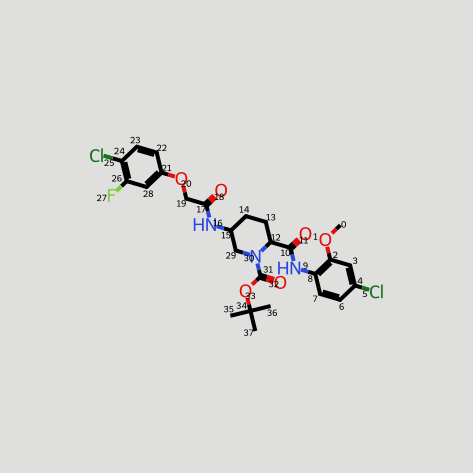 COc1cc(Cl)ccc1NC(=O)C1CCC(NC(=O)COc2ccc(Cl)c(F)c2)CN1C(=O)OC(C)(C)C